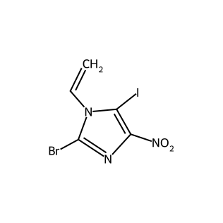 C=Cn1c(Br)nc([N+](=O)[O-])c1I